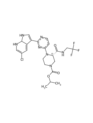 CC(C)OC(=O)N1CCN(c2ccnc(C3=CNC4NC=C(Cl)C=C34)n2)[C@H](C(=O)NCC(F)(F)F)C1